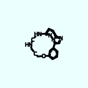 c1cc2cc(c1)-c1cnc3ccc(nn13)NCCNCCCO2